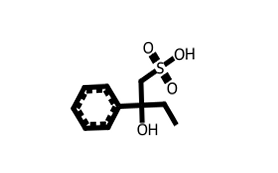 CCC(O)(CS(=O)(=O)O)c1ccccc1